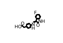 O=C(O)Cc1ccc(NC=C2C(=O)Nc3ccc(F)cc32)cc1